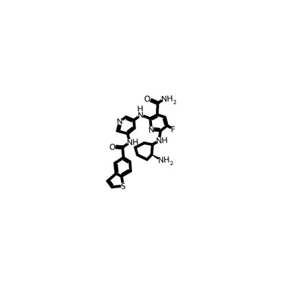 NC(=O)c1cc(F)c(NC2CCCC[C@@H]2N)nc1Nc1cncc(NC(=O)c2ccc3sccc3c2)c1